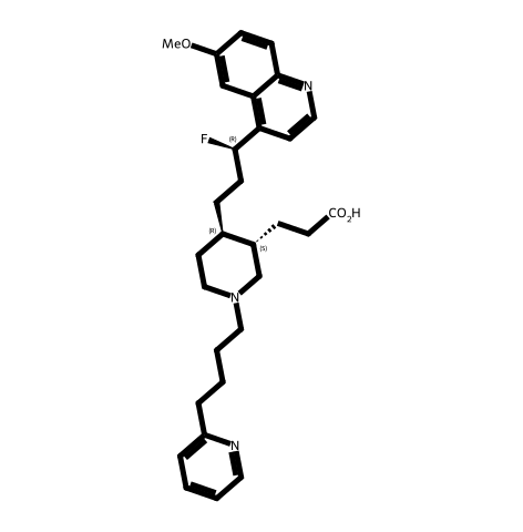 COc1ccc2nccc([C@H](F)CC[C@@H]3CCN(CCCCc4ccccn4)C[C@H]3CCC(=O)O)c2c1